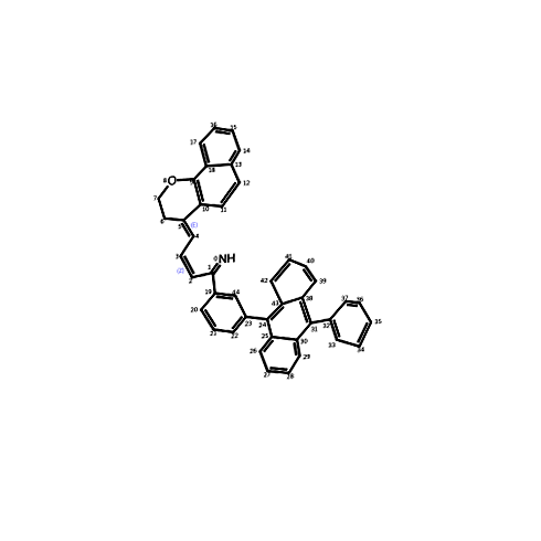 N=C(/C=C\C=C1/CCOc2c1ccc1ccccc21)c1cccc(-c2c3ccccc3c(-c3ccccc3)c3ccccc23)c1